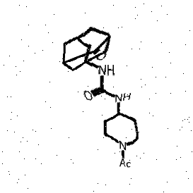 CC(=O)N1CCC(NC(=O)NC23CC4CC(C2)C(=O)C(C4)C3)CC1